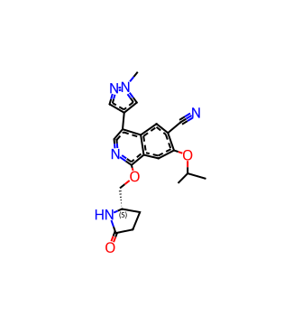 CC(C)Oc1cc2c(OC[C@@H]3CCC(=O)N3)ncc(-c3cnn(C)c3)c2cc1C#N